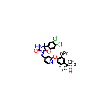 CCCc1cc(C(O)(C(F)(F)F)C(F)(F)F)ccc1Oc1cc(CN2C(=O)NC(C)(c3ccc(Cl)c(Cl)c3)C2=O)ccn1